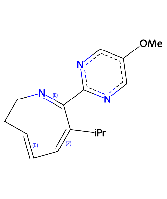 COc1cnc(C2=N/CC/C=C/C=C\2C(C)C)nc1